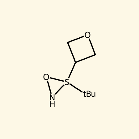 CC(C)(C)S1(C2COC2)NO1